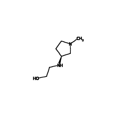 CN1CC[C@H](NCCO)C1